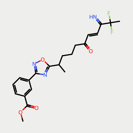 COC(=O)c1cccc(-c2noc(C(C)CCCC(=O)/C=C/C(=N)C(C)(F)F)n2)c1